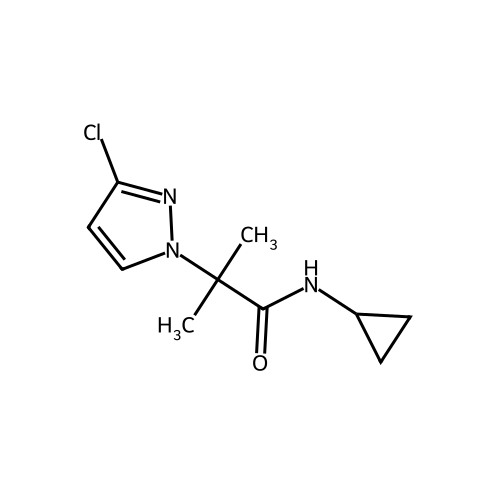 CC(C)(C(=O)NC1CC1)n1ccc(Cl)n1